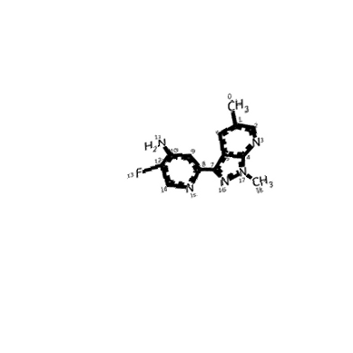 Cc1cnc2c(c1)c(-c1cc(N)c(F)cn1)nn2C